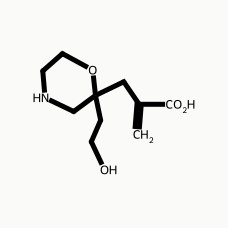 C=C(CC1(CCO)CNCCO1)C(=O)O